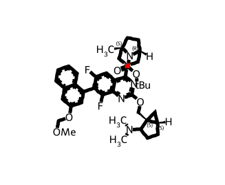 COCOc1cc(-c2c(F)cc3c(N4C[C@H]5CC[C@@](C)(C4)N5C(=O)OC(C)(C)C)nc(OC[C@@]45C[C@@H]4CCC5N(C)C)nc3c2F)c2ccccc2c1